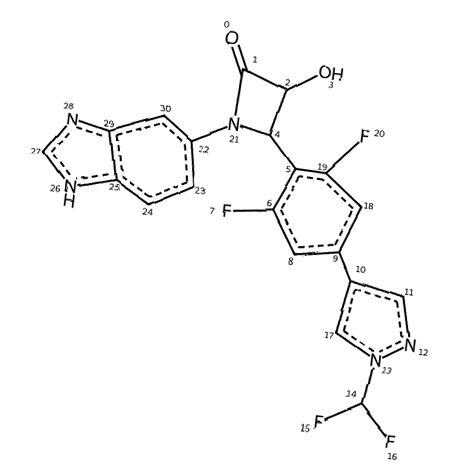 O=C1C(O)C(c2c(F)cc(-c3cnn(C(F)F)c3)cc2F)N1c1ccc2[nH]cnc2c1